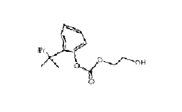 CC(C)C(C)(C)c1ccccc1OC(=O)OCCO